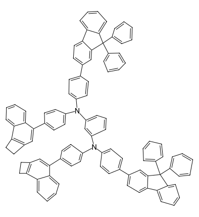 c1ccc(C2(c3ccccc3)c3ccccc3-c3ccc(-c4ccc(N(c5ccc(-c6cc7c(c8ccccc68)CC7)cc5)c5cccc(N(c6ccc(-c7ccc8c(c7)C(c7ccccc7)(c7ccccc7)c7ccccc7-8)cc6)c6ccc(-c7cc8c(c9ccccc79)CC8)cc6)c5)cc4)cc32)cc1